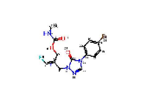 CC(C)(C)NC(=O)OC/C(=C\F)Cn1ncn(-c2ccc(Br)cc2)c1=O